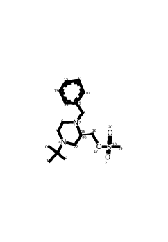 CC(C)(C)N1CCN(Cc2ccccc2)[C@@H](COS(C)(=O)=O)C1